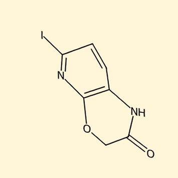 O=C1COc2nc(I)ccc2N1